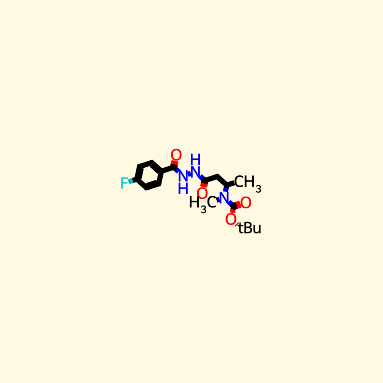 CC(CC(=O)NNC(=O)c1ccc(F)cc1)N(C)C(=O)OC(C)(C)C